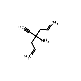 C#CC(N)(CC=C)CC=C